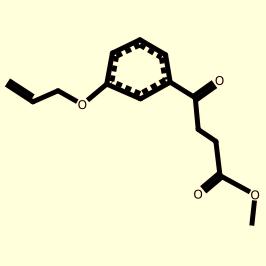 C=CCOc1cccc(C(=O)CCC(=O)OC)c1